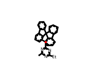 CCc1nc(C)nc(Cc2cccc3c2C2(c4ccccc4-c4ccccc42)c2ccccc2-3)n1